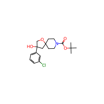 CC(C)(C)OC(=O)N1CCC2(CC1)CC(O)(c1cccc(Cl)c1)CO2